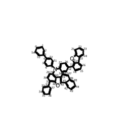 c1ccc(-c2ccc(N(c3ccc(-c4cccc5c4oc4ccccc45)cc3)c3ccc(-c4ccccc4)c4oc5c6ccccc6ccc5c34)cc2)cc1